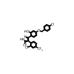 Oc1cc(OCc2ccc(Cl)cc2)ccc1-c1n[nH]c(C(F)(F)F)c1-c1ccc(C(F)(F)F)cc1Cl